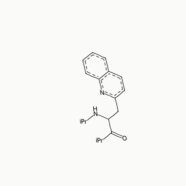 CC(C)NC(Cc1ccc2ccccc2n1)C(=O)C(C)C